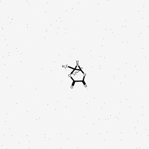 CC12B[C@@]1(C)OC(=O)C(=O)O2